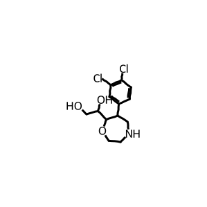 OCC(O)C1OCCNCC1c1ccc(Cl)c(Cl)c1